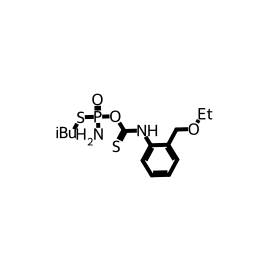 CCOCc1ccccc1NC(=S)OP(N)(=O)SC(C)CC